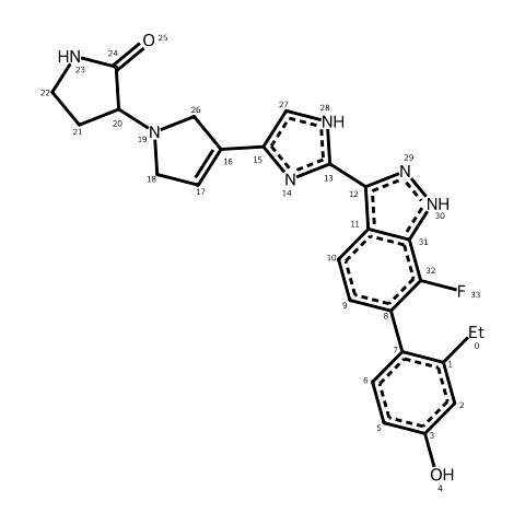 CCc1cc(O)ccc1-c1ccc2c(-c3nc(C4=CCN(C5CCNC5=O)C4)c[nH]3)n[nH]c2c1F